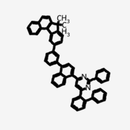 CC1(C)c2ccc(-c3cccc(-c4ccc(-c5cc(-c6ccccc6-c6ccccc6)nc(-c6ccccc6)n5)c5ccccc45)c3)cc2-c2c1ccc1ccccc21